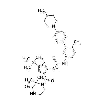 Cc1ccc(NC(=O)Nc2sc(C(C)(C)C)cc2C(=O)N2CCNC(=O)C2(C)C)cc1-c1ccc(N2CCN(C)CC2)cn1